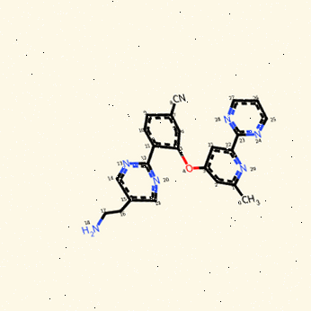 Cc1cc(Oc2cc(C#N)ccc2-c2ncc(CCN)cn2)cc(-c2ncccn2)n1